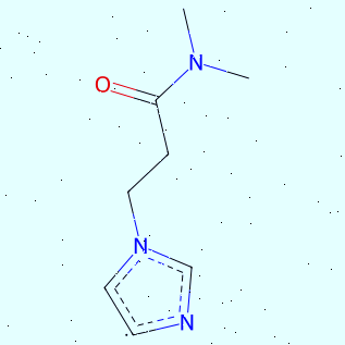 CN(C)C(=O)CCn1c[c]nc1